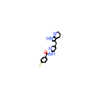 O=C(Nc1ccc(Cc2c[nH]c3c2=CCCN=3)cn1)c1ccc(F)cc1